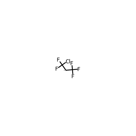 FC(F)(F)[CH]C(F)(F)Cl